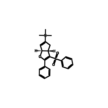 C[Si](C)(C)C1=C[C@@H]2OC(c3ccccc3)=C(S(=O)(=O)c3ccccc3)[C@H]2C1